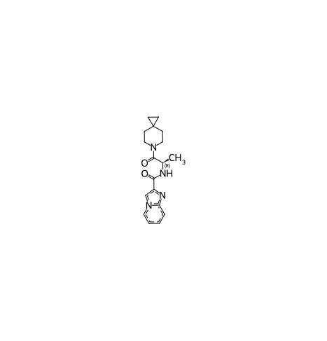 C[C@@H](NC(=O)c1cn2ccccc2n1)C(=O)N1CCC2(CC1)CC2